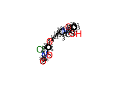 CN(C(=O)c1ccc(OCCCCC2CCN(C(=O)[C@](O)(c3ccccc3)C(F)(F)F)CC2)cc1Cl)C1COC1